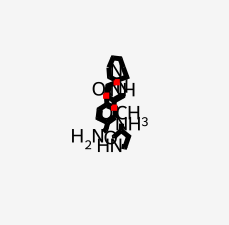 CC(=O)c1ccc(N2C3CCC2CC(NC(=O)c2ccc(C(N)=O)c(NC4CCNC4)c2)C3)nc1